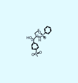 CS(=O)(=O)c1ccc([C@@H](O)[C@@H](CF)NS(=O)(=O)c2ccccc2)cc1